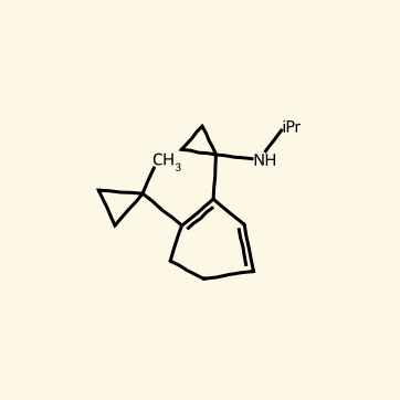 CC(C)NC1(C2=C(C3(C)CC3)CCC=C2)CC1